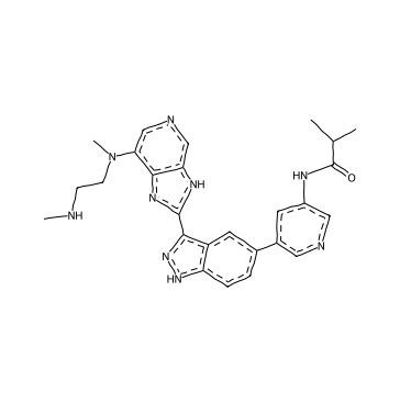 CNCCN(C)c1cncc2[nH]c(-c3n[nH]c4ccc(-c5cncc(NC(=O)C(C)C)c5)cc34)nc12